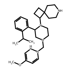 COC1=CNN(CN2CCN(C3CCC34CCNCC4)C(c3ccccc3C(C)C)C2)C=C1